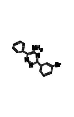 Nc1nc(-c2cccc(Br)c2)nnc1-c1ccccc1